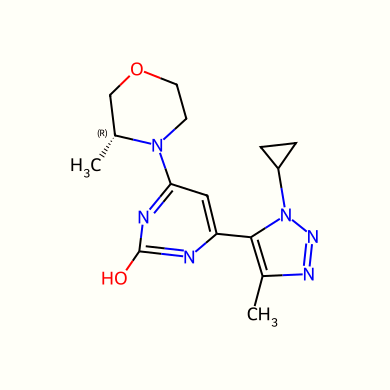 Cc1nnn(C2CC2)c1-c1cc(N2CCOC[C@H]2C)nc(O)n1